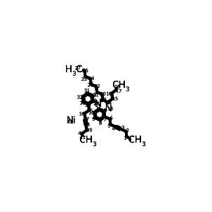 CCCC#CCCc1ccccc1N=C(CCCC)C(CCCCCCCC)=Nc1ccccc1CCC#CCCC.[Ni]